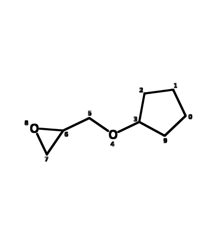 C1CCC(OCC2CO2)C1